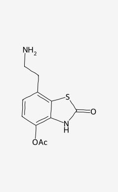 CC(=O)Oc1ccc(CCN)c2sc(=O)[nH]c12